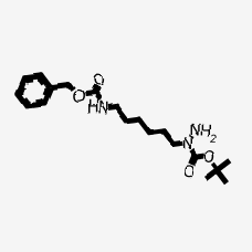 CC(C)(C)OC(=O)N(N)CCCCCCNC(=O)OCc1ccccc1